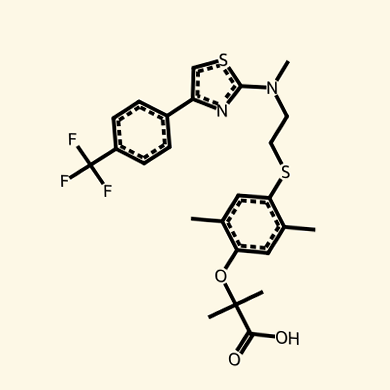 Cc1cc(SCCN(C)c2nc(-c3ccc(C(F)(F)F)cc3)cs2)c(C)cc1OC(C)(C)C(=O)O